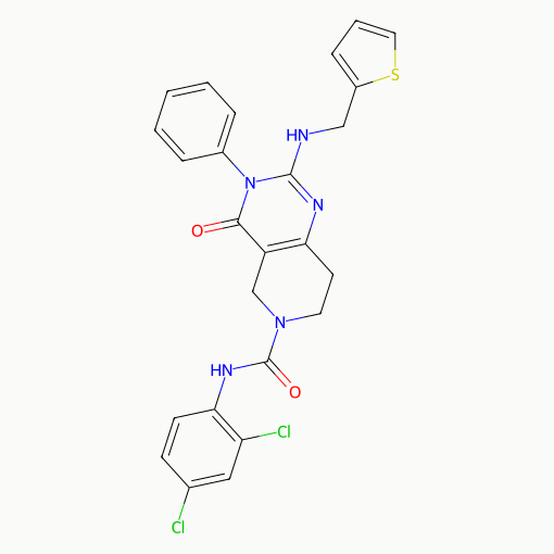 O=C(Nc1ccc(Cl)cc1Cl)N1CCc2nc(NCc3cccs3)n(-c3ccccc3)c(=O)c2C1